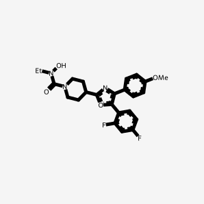 CCN(O)C(=O)N1CCC(c2nc(-c3ccc(OC)cc3)c(-c3ccc(F)cc3F)o2)CC1